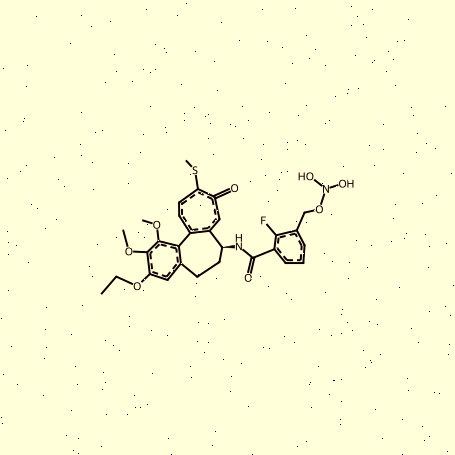 CCOc1cc2c(c(OC)c1OC)-c1ccc(SC)c(=O)cc1[C@@H](NC(=O)c1cccc(CON(O)O)c1F)CC2